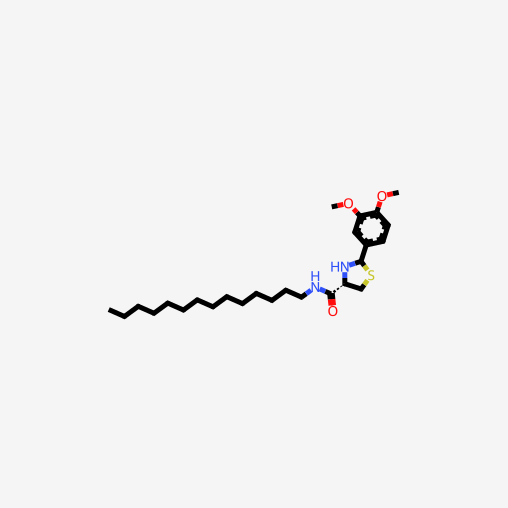 CCCCCCCCCCCCCCNC(=O)[C@H]1CSC(c2ccc(OC)c(OC)c2)N1